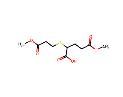 COC(=O)CCSC(CCC(=O)OC)C(=O)O